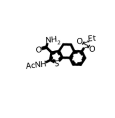 CCS(=O)(=O)c1cccc2c1CCc1c-2sc(NC(C)=O)c1C(N)=O